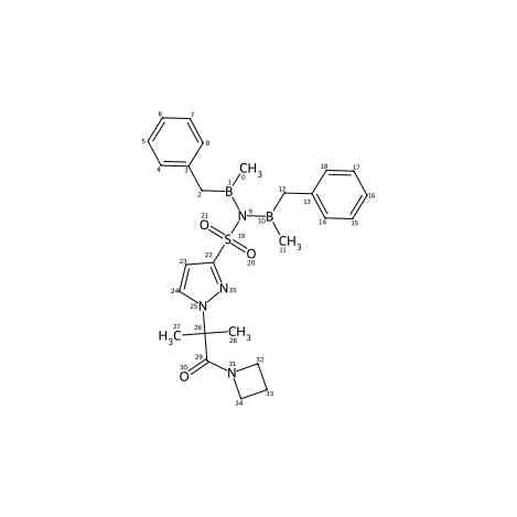 CB(Cc1ccccc1)N(B(C)Cc1ccccc1)S(=O)(=O)c1ccn(C(C)(C)C(=O)N2CCC2)n1